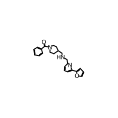 O=C(c1ccccc1)N1CCC(CNCc2cccc(-c3ccco3)n2)CC1